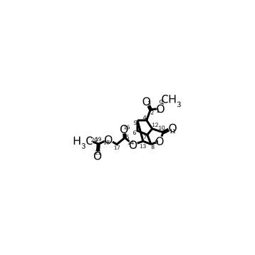 COC(=O)C1C2CC3C(OC(=O)C31)C2OC(=O)COC(C)=O